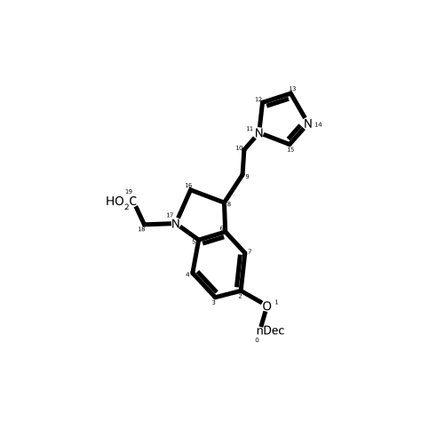 CCCCCCCCCCOc1ccc2c(c1)C(CCn1ccnc1)CN2CC(=O)O